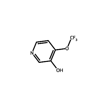 Oc1cnccc1OC(F)(F)F